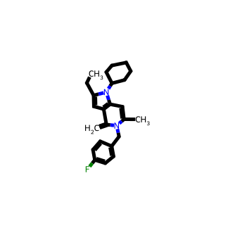 C=C1c2cc(CC)n(C3CCCCC3)c2C=C(C)N1Cc1ccc(F)cc1